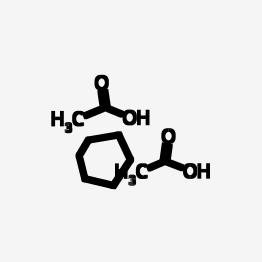 C1CCCCC1.CC(=O)O.CC(=O)O